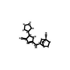 O=C1N=C(N[C@H]2C[C@@H]3CCC2C3)SC1[C@H]1CCOC1